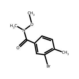 CON(C)C(=O)c1ccc(C)c(Br)c1